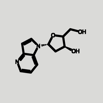 OCC1O[C@@H](n2ccc3ncccc32)C[C@@H]1O